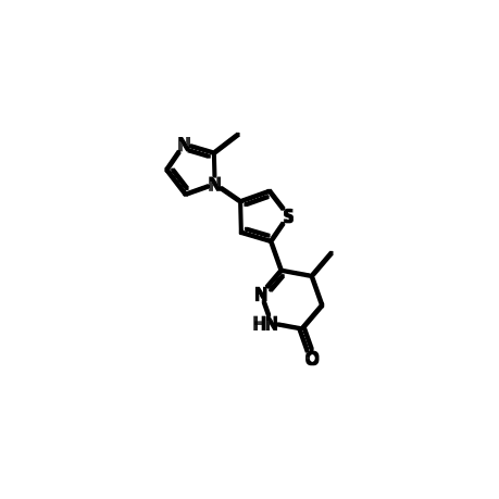 Cc1nccn1-c1csc(C2=NNC(=O)CC2C)c1